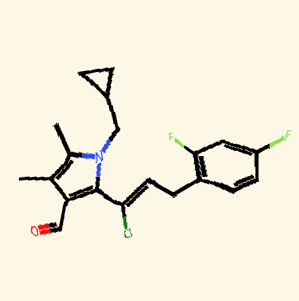 Cc1c(C=O)c(C(Cl)=CCc2ccc(F)cc2F)n(CC2CC2)c1C